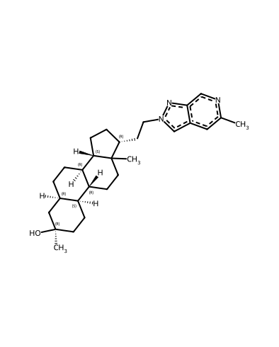 Cc1cc2cn(CC[C@H]3CC[C@H]4[C@@H]5CC[C@@H]6C[C@](C)(O)CC[C@@H]6[C@H]5CCC34C)nc2cn1